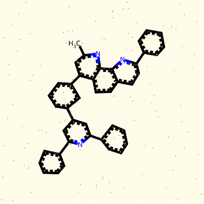 Cc1cc(-c2cccc(-c3cc(-c4ccccc4)nc(-c4ccccc4)c3)c2)c2ccc3ccc(-c4ccccc4)nc3c2n1